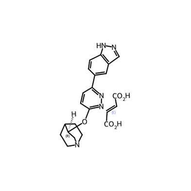 O=C(O)/C=C/C(=O)O.c1cc2[nH]ncc2cc1-c1ccc(O[C@H]2CN3CCC2CC3)nn1